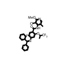 COc1ncc(C)c(NC(=O)c2cc(F)c(N=C(c3ccccc3)c3ccccc3)cc2OC(C)C(F)(F)F)c1Cl